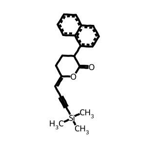 C[Si](C)(C)C#C/C=C1/CCC(c2cccc3ccccc23)C(=O)O1